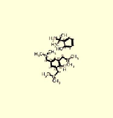 CC(C)(N)c1ccccc1O.CN(C)Cc1cc(CN(C)C)c(O)c(CN(C)C)c1